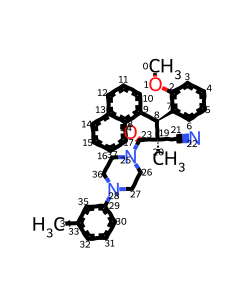 COc1ccccc1[C@H](c1cccc2ccccc12)[C@@](C)(C#N)C(=O)N1CCN(c2cccc(C)c2)CC1